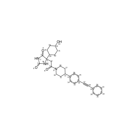 O=C1NC(=O)C(CC(=O)N2CCC(c3ccc(C#Cc4ccccc4)cc3)CC2)(C2CCC(O)CC2)N1